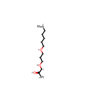 CNCCCCCOCCCOCC(=O)C(C)C